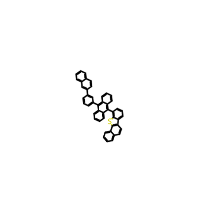 c1cc(-c2ccc3ccccc3c2)cc(-c2c3ccccc3c(-c3cccc4c3sc3c5ccccc5ccc43)c3ccccc23)c1